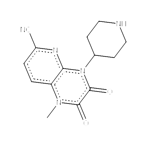 Cn1c(=O)c(=O)n(C2CCNCC2)c2nc(C#N)ccc21